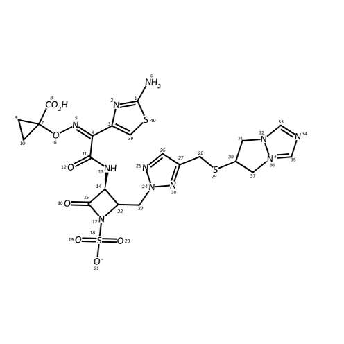 Nc1nc(/C(=N/OC2(C(=O)O)CC2)C(=O)N[C@@H]2C(=O)N(S(=O)(=O)[O-])C2Cn2ncc(CSC3Cn4cnc[n+]4C3)n2)cs1